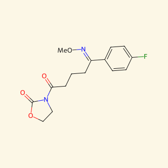 CO/N=C(\CCCC(=O)N1CCOC1=O)c1ccc(F)cc1